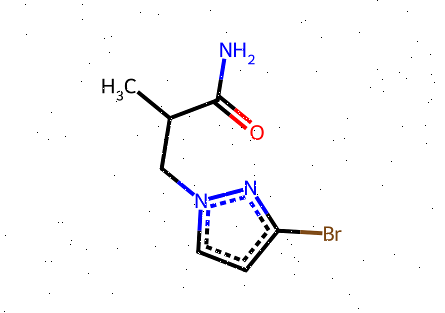 CC(Cn1ccc(Br)n1)C(N)=O